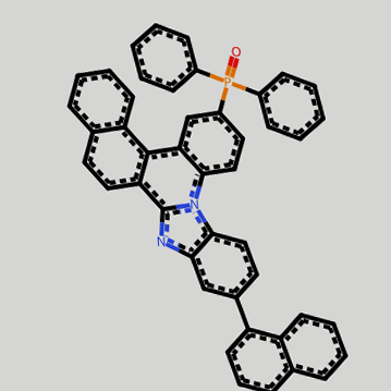 O=P(c1ccccc1)(c1ccccc1)c1ccc2c(c1)c1c3ccccc3ccc1c1nc3cc(-c4cccc5ccccc45)ccc3n21